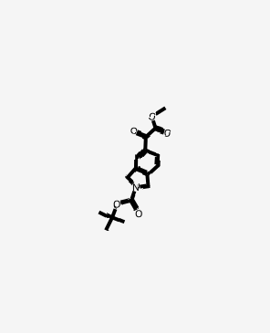 COC(=O)C(=O)c1ccc2c(c1)CN(C(=O)OC(C)(C)C)C2